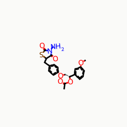 COc1cccc([C@@H](COc2ccc(CC3SC(=O)N(N)C3=O)cc2)OC(C)=O)c1